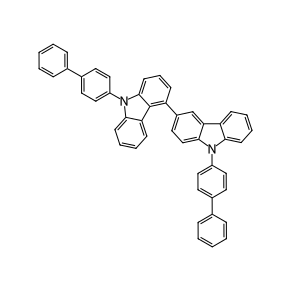 c1ccc(-c2ccc(-n3c4ccccc4c4cc(-c5cccc6c5c5ccccc5n6-c5ccc(-c6ccccc6)cc5)ccc43)cc2)cc1